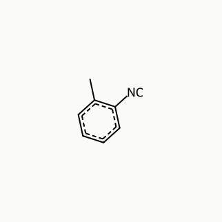 [C-]#[N+]c1ccccc1C